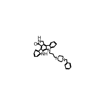 O=C1NCc2c1c1c3ccccc3[nH]c1c1c2c2ccccc2n1CCCN1CCN(Cc2ccccc2)CC1